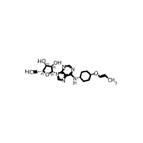 C#C[C@H]1O[C@@H](n2cnc3c(N[C@H]4CC[C@H](OC=CC)CC4)ncnc32)[C@H](O)[C@@H]1O